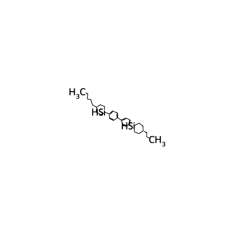 CCCCCC1CC[SiH](c2ccc(-c3ccc([Si@H]4CC[C@H](CCC)CC4)cc3)cc2)CC1